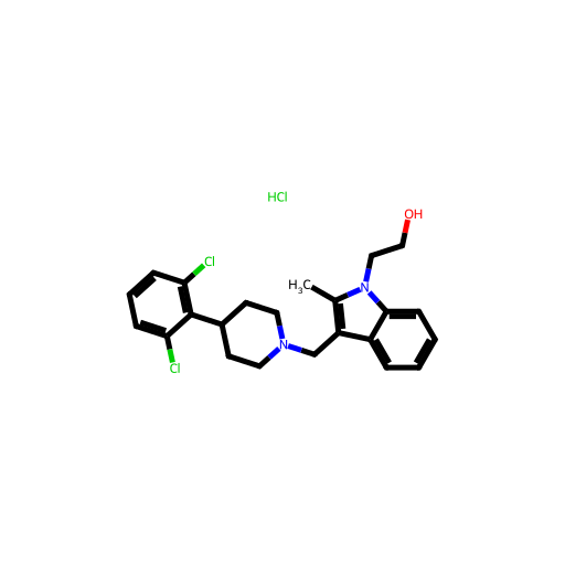 Cc1c(CN2CCC(c3c(Cl)cccc3Cl)CC2)c2ccccc2n1CCO.Cl